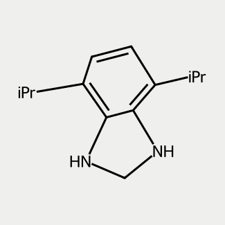 CC(C)c1ccc(C(C)C)c2c1NCN2